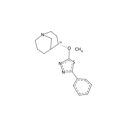 C.c1ccc(-c2nnc(O[C@H]3CCN4CCCC3C4)s2)cc1